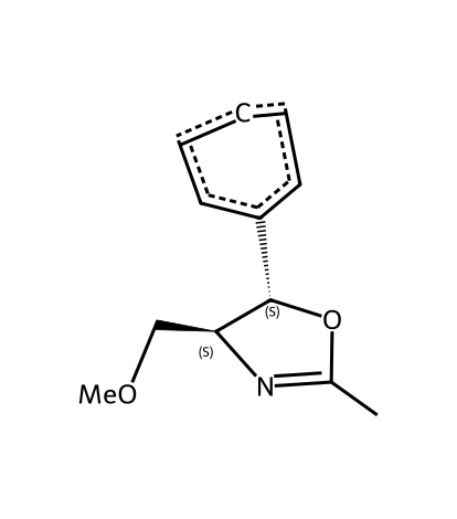 COC[C@@H]1N=C(C)O[C@H]1c1ccccc1